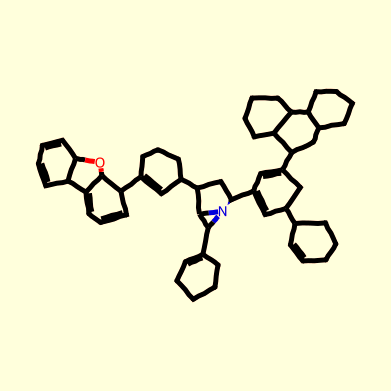 C1=CC2OC3C(=CC=CC3C3=CC(C4CC(C5=CC(C6C=CCCC6)CC(C6CC7CCCCC7C7CCCCC67)=C5)[N@]5C(C6=CCCCC6)C45)CCC3)C2C=C1